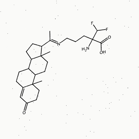 CC(=NCCCC(N)(C(=O)O)C(F)F)C1CCC2C3CCC4=CC(=O)CCC4(C)C3CCC12C